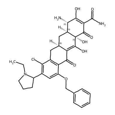 CCN1CCCC1c1cc(OCc2ccccc2)c2c(c1Cl)C[C@H]1C[C@H]3[C@H](N)C(O)=C(C(N)=O)C(=O)[C@@]3(O)C(O)=C1C2=O